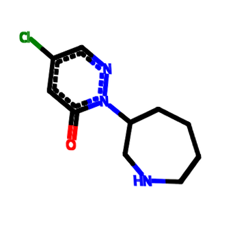 O=c1cc(Cl)cnn1C1CCCCNC1